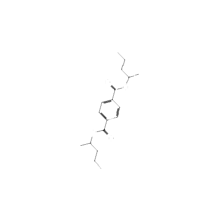 CCCC(C)OC(=O)c1ccc(C(=O)OC(C)CCC)cc1